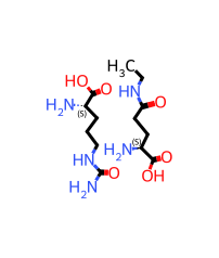 CCNC(=O)CC[C@H](N)C(=O)O.NC(=O)NCCC[C@H](N)C(=O)O